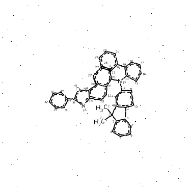 CC1(C)c2ccccc2-c2ccc(N(c3ccccc3-c3ccccc3)c3cccc4c3ccc3nc(-c5ccccc5)oc34)cc21